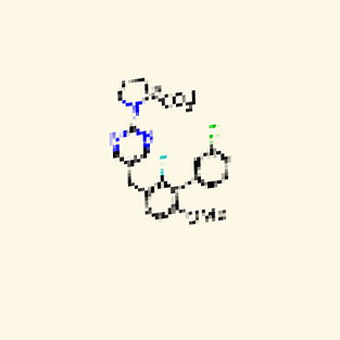 COc1ccc(Cc2cnc(N3CCC[C@H]3C(=O)O)nc2)c(F)c1-c1cccc(Cl)c1